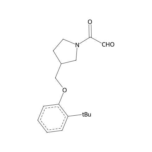 CC(C)(C)c1ccccc1OCC1CCN(C(=O)C=O)C1